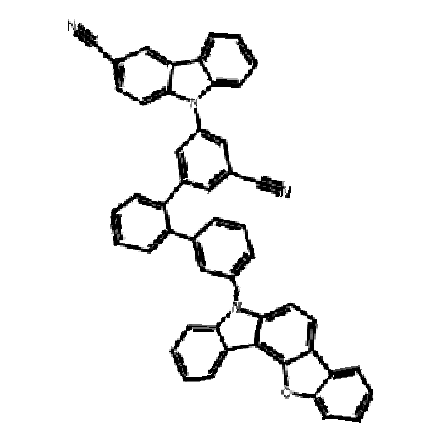 N#Cc1cc(-c2ccccc2-c2cccc(-n3c4ccccc4c4c5oc6ccccc6c5ccc43)c2)cc(-n2c3ccccc3c3cc(C#N)ccc32)c1